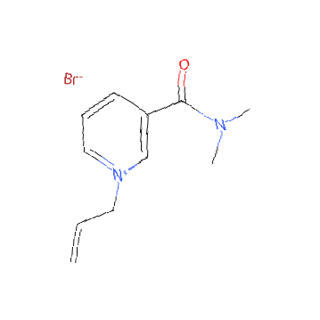 C=CC[n+]1cccc(C(=O)N(C)C)c1.[Br-]